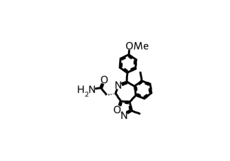 COc1ccc(C2=N[C@@H](CC(N)=O)c3onc(C)c3-c3cccc(C)c32)cc1